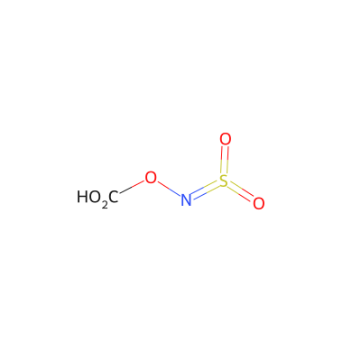 O=C(O)ON=S(=O)=O